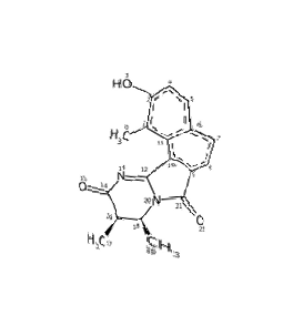 Cc1c(O)ccc2ccc3c(c12)C1=NC(=O)[C@H](C)[C@H](C)N1C3=O